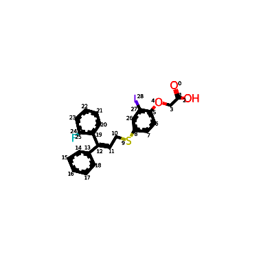 O=C(O)COc1ccc(SCC=C(c2ccccc2)c2ccccc2F)cc1I